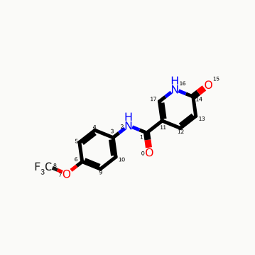 O=C(Nc1ccc(OC(F)(F)F)cc1)c1ccc(=O)[nH]c1